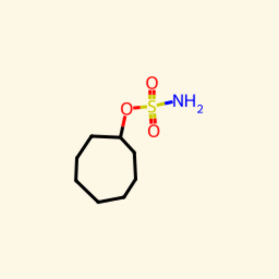 NS(=O)(=O)OC1CCCCCCC1